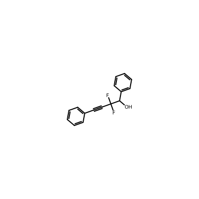 OC(c1ccccc1)C(F)(F)C#Cc1ccccc1